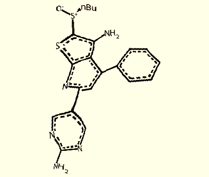 CCCC[S@+]([O-])c1sc2nc(-c3cnc(N)nc3)cc(-c3ccccc3)c2c1N